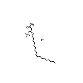 CCCCCCCC/C=C\CCCCCCCCO[C@H](CC(=O)O)C[N+](C)(C)C.[Cl-]